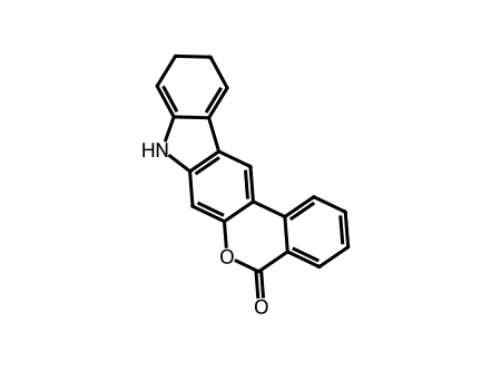 O=c1oc2cc3[nH]c4c(c3cc2c2ccccc12)=CCCC=4